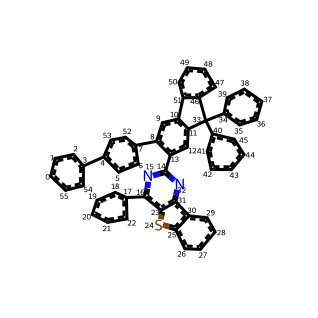 c1ccc(-c2ccc(-c3cc4c(cc3-c3nc(-c5ccccc5)c5sc6ccccc6c5n3)C(c3ccccc3)(c3ccccc3)c3ccccc3-4)cc2)cc1